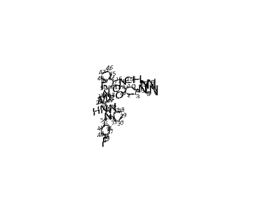 COc1ccc(-n2cnnn2)cc1C(=O)N(C)CC(CCN1CCC(Nc2nc3ccccc3n2Cc2ccc(F)cc2)CC1)c1ccccc1F